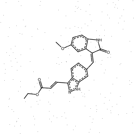 CCOC(=O)/C=C/c1n[nH]c2cc(/C=C3/C(=O)Nc4ccc(OC)cc43)ccc12